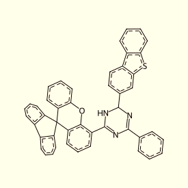 c1ccc(C2=NC(c3ccc4c(c3)sc3ccccc34)NC(c3cccc4c3Oc3ccccc3C43c4ccccc4-c4ccccc43)=N2)cc1